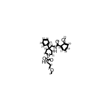 COCCNS(=O)(=O)N1CCC(CNC(=O)c2ccccc2OC)(c2ccccc2)CC1